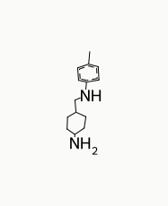 Cc1ccc(NCC2CCC(N)CC2)cc1